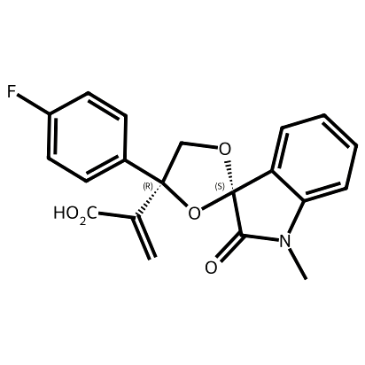 C=C(C(=O)O)[C@]1(c2ccc(F)cc2)CO[C@@]2(O1)C(=O)N(C)c1ccccc12